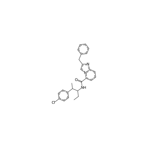 CCC(NC(=O)c1cccc2nc(Cc3ccccc3)cn12)C(C)c1ccc(Cl)cc1